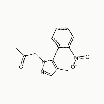 CC(=O)Cn1ncc(C)c1-c1ccccc1[N+](=O)[O-]